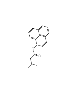 CC(C)CC(=O)OC1C=Cc2cccc3cccc1c23